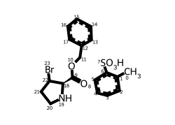 Cc1ccccc1S(=O)(=O)O.O=C(OCc1ccccc1)[C@H]1NCCC1Br